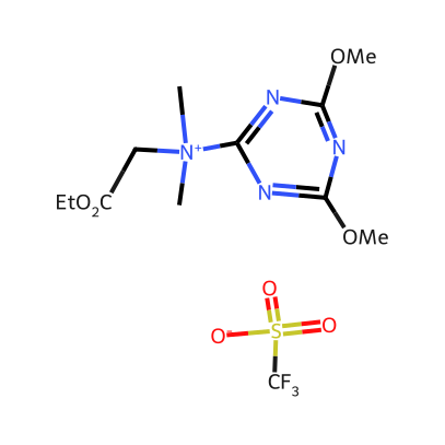 CCOC(=O)C[N+](C)(C)c1nc(OC)nc(OC)n1.O=S(=O)([O-])C(F)(F)F